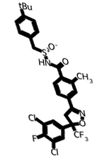 Cc1cc(C2=NOC(c3cc(Cl)c(F)c(Cl)c3)(C(F)(F)F)C2)ccc1C(=O)N[S+]([O-])Cc1ccc(C(C)(C)C)cc1